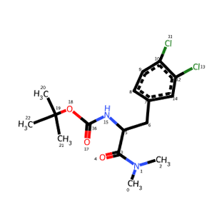 CN(C)C(=O)C(Cc1ccc(Cl)c(Cl)c1)NC(=O)OC(C)(C)C